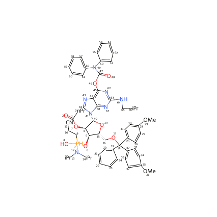 CCCC(=O)O[C@@H]1[C@H](O[PH](O)(CCC#N)N(C(C)C)C(C)C)[C@@H](COC(c2ccccc2)(c2ccc(OC)cc2)c2ccc(OC)cc2)O[C@H]1n1cnc2c(OC(=O)N(c3ccccc3)c3ccccc3)nc(NCC(C)C)nc21